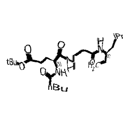 C=C[C@H](CC(C)C)NC(=O)CNC(=O)[C@H](CCC(=O)OC(C)(C)C)NC(=O)CCCC